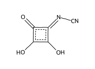 N#CN=c1c(O)c(O)c1=O